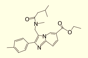 CCOC(=O)c1ccc2nc(-c3ccc(C)cc3)c(CN(C)C(=O)CC(C)C)n2c1